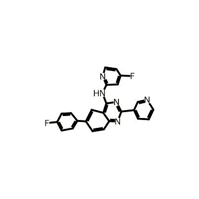 Fc1ccc(-c2ccc3nc(-c4cccnc4)nc(Nc4cc(F)ccn4)c3c2)cc1